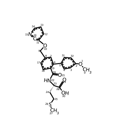 COc1ccc(-c2cc(COc3cccnc3)ccc2C(=O)N[C@@H](CCSC)C(=O)O)cc1